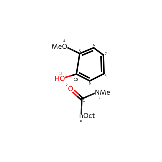 CCCCCCCCC(=O)NC.COc1ccccc1O